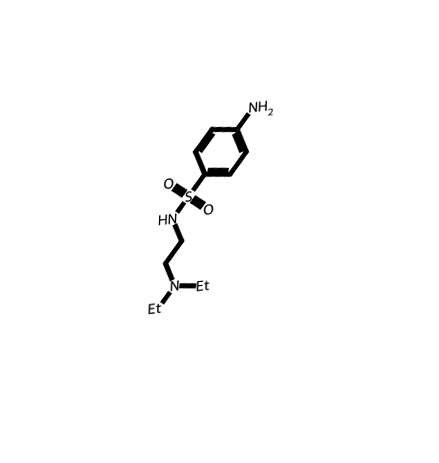 CCN(CC)CCNS(=O)(=O)c1ccc(N)cc1